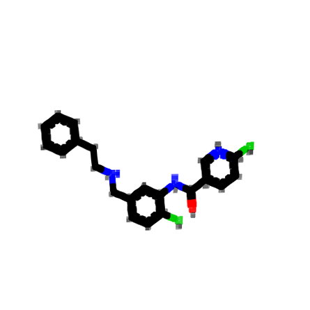 O=C(Nc1cc(CNCCc2ccccc2)ccc1Cl)c1ccc(Cl)nc1